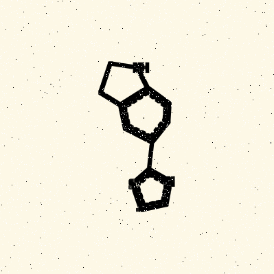 [c]1cnc(-c2ccc3c(c2)CCN3)s1